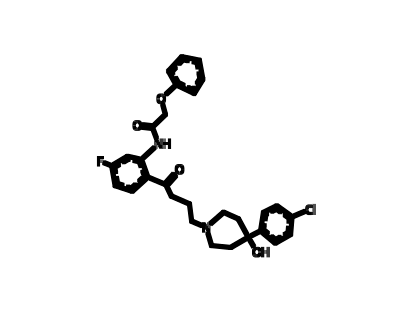 O=C(COc1ccccc1)Nc1cc(F)ccc1C(=O)CCCN1CCC(O)(c2ccc(Cl)cc2)CC1